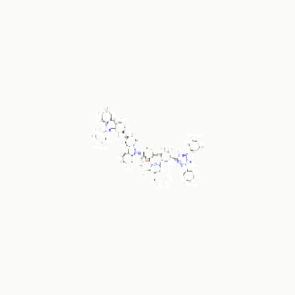 C1=CCc2c(c3ccccc3n2-c2cc(-c3nc(-c4ccccc4)nc(-c4ccccc4)n3)ccc2-c2ccc(-n3c4ccccc4c4cc(-c5ccc6c7ccccc7n(C7C=CC=CC7)c6c5)ccc43)cc2)C=C1